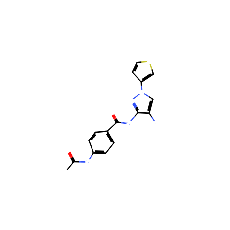 CC(=O)Nc1ccc(C(=O)Nc2nn(-c3ccsc3)cc2N)cc1